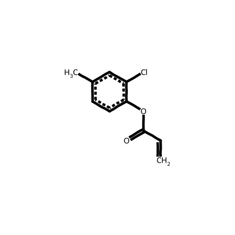 C=CC(=O)Oc1ccc(C)cc1Cl